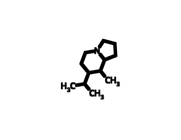 CC(C)C1CCN2CCCC2C1C